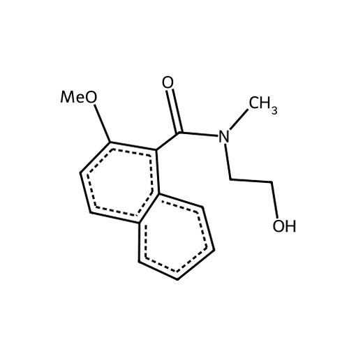 COc1ccc2ccccc2c1C(=O)N(C)CCO